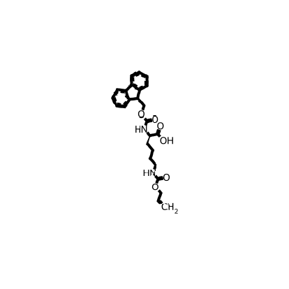 C=CCOC(=O)NCCCC[C@@H](NC(=O)OCC1c2ccccc2-c2ccccc21)C(=O)O